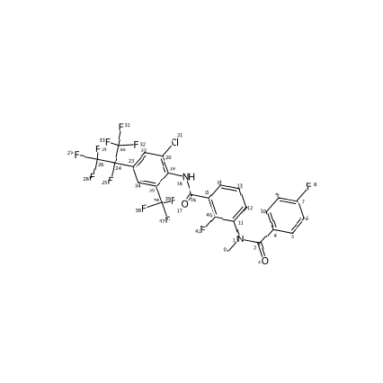 CN(C(=O)c1ccc(F)cc1)c1cccc(C(=O)Nc2c(Cl)cc(C(F)(C(F)(F)F)C(F)(F)F)cc2C(F)(F)F)c1F